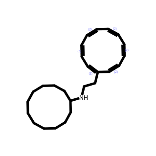 C1=C\C=C/C=C\C(CCNC2CCCCCCCCCCC2)=C/C=C\C=C/1